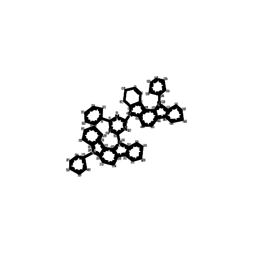 C1=Cc2c(n(-c3nc(-c4ccccc4)nc(-n4c5ccccc5c5ccc6c(c7ccccc7n6-c6ccccc6)c54)n3)c3ccc4c5ccccc5n(-c5ccccc5)c4c23)CC1